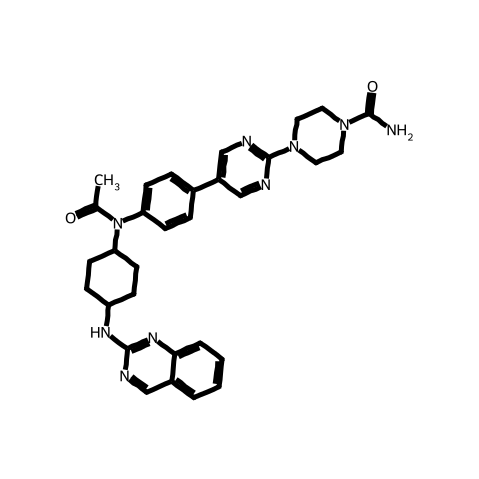 CC(=O)N(c1ccc(-c2cnc(N3CCN(C(N)=O)CC3)nc2)cc1)C1CCC(Nc2ncc3ccccc3n2)CC1